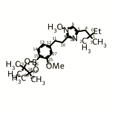 CCC(C)(C)Cc1cn(C)c(CCc2ccc(B3OC(C)(C)C(C)(C)O3)c(OC)c2)n1